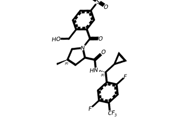 C[C@@H]1CC(C(=O)N[C@@H](c2cc(F)c(C(F)(F)F)cc2F)C2CC2)N(C(=O)c2cc(S(C)(=O)=O)ccc2CO)C1